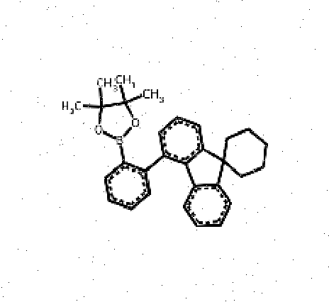 CC1(C)OB(c2ccccc2-c2cccc3c2-c2ccccc2C32CCCCC2)OC1(C)C